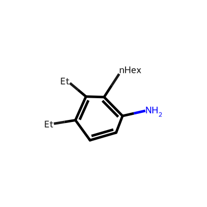 CCCCCCc1c(N)ccc(CC)c1CC